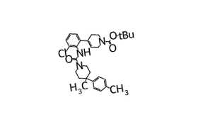 Cc1ccc(C2(C)CCN(C(=O)Nc3c(Cl)cccc3C3=CCN(C(=O)OC(C)(C)C)CC3)CC2)cc1